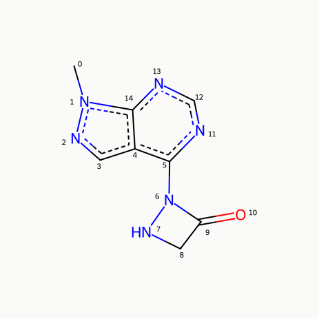 Cn1ncc2c(N3NCC3=O)ncnc21